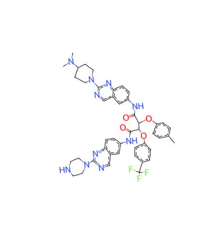 Cc1ccc(OC(C(=O)Nc2ccc3nc(N4CCC(N(C)C)CC4)ncc3c2)C(Oc2ccc(C(F)(F)F)cc2)C(=O)Nc2ccc3nc(N4CCNCC4)ncc3c2)cc1